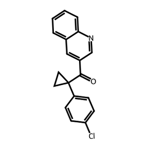 O=C(c1cnc2ccccc2c1)C1(c2ccc(Cl)cc2)CC1